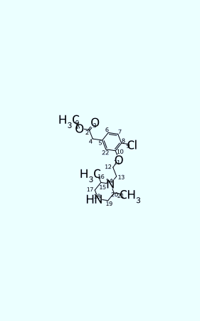 COC(=O)Cc1ccc(Cl)c(OCCN2C(C)CNCC2C)c1